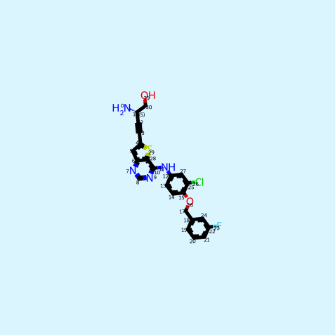 N[C@@H](C#Cc1cc2ncnc(Nc3ccc(OCc4cccc(F)c4)c(Cl)c3)c2s1)CO